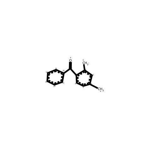 [CH2]c1cc(C)ccc1C(=O)c1ccccc1